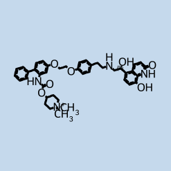 C[N+]1(C)CCC(OC(=O)Nc2cc(OCCOc3ccc(CCNC[C@H](O)c4ccc(O)c5[nH]c(=O)ccc45)cc3)ccc2-c2ccccc2)CC1